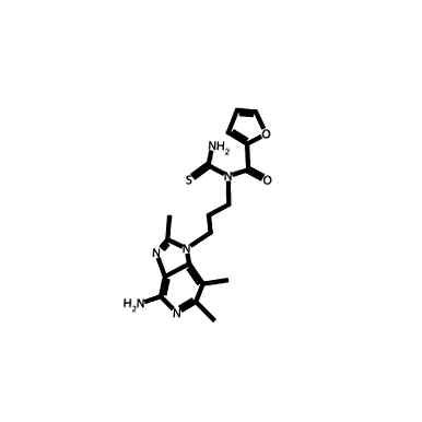 Cc1nc(N)c2nc(C)n(CCCN(C(=O)c3ccco3)C(N)=S)c2c1C